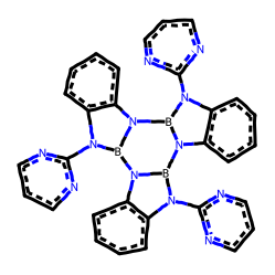 c1cnc(N2B3N(B4N(B5N3c3ccccc3N5c3ncccn3)c3ccccc3N4c3ncccn3)c3ccccc32)nc1